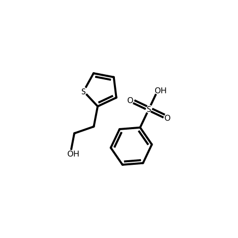 O=S(=O)(O)c1ccccc1.OCCc1cccs1